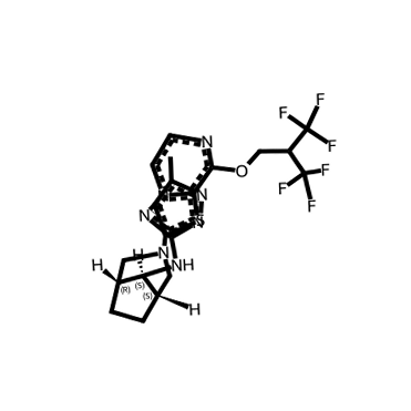 Cc1cc(N2C[C@H]3CC[C@@H](C2)[C@@H]3Nc2nc3c(OCC(C(F)(F)F)C(F)(F)F)nccn3n2)sn1